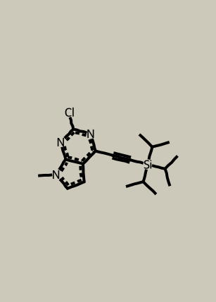 CC(C)[Si](C#Cc1nc(Cl)nc2c1ccn2C)(C(C)C)C(C)C